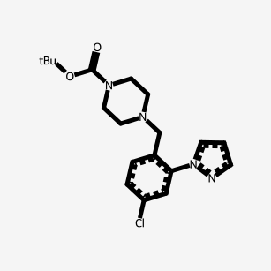 CC(C)(C)OC(=O)N1CCN(Cc2ccc(Cl)cc2-n2cccn2)CC1